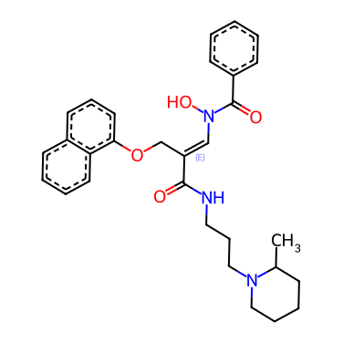 CC1CCCCN1CCCNC(=O)/C(=C/N(O)C(=O)c1ccccc1)COc1cccc2ccccc12